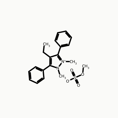 CCc1c(-c2ccccc2)n(C)[n+](C)c1-c1ccccc1.COS(=O)(=O)[O-]